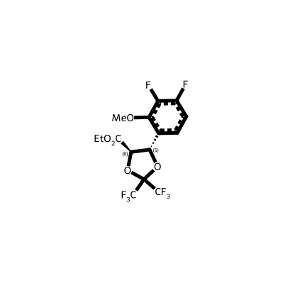 CCOC(=O)[C@@H]1OC(C(F)(F)F)(C(F)(F)F)O[C@H]1c1ccc(F)c(F)c1OC